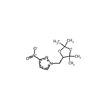 CC1(C)OC(Cn2ccc([N+](=O)[O-])n2)C(C)(C)O1